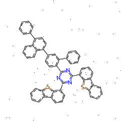 c1ccc(-c2cc(-c3ccc(-c4ccccc4)c4ccccc34)ccc2-c2nc(-c3cccc4c3sc3ccccc34)nc(-c3cccc4c3sc3ccccc34)n2)cc1